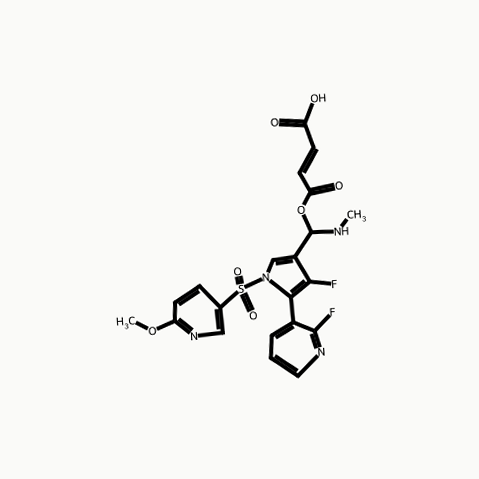 CNC(OC(=O)/C=C/C(=O)O)c1cn(S(=O)(=O)c2ccc(OC)nc2)c(-c2cccnc2F)c1F